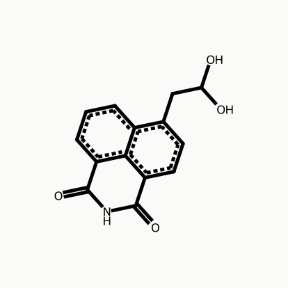 O=C1NC(=O)c2ccc(CC(O)O)c3cccc1c23